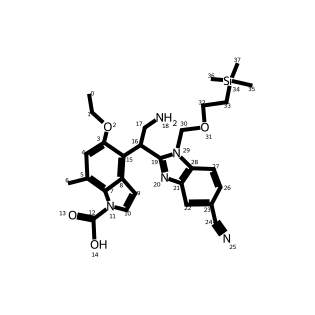 CCOc1cc(C)c2c(ccn2C(=O)O)c1C(CN)c1nc2cc(C#N)ccc2n1COCC[Si](C)(C)C